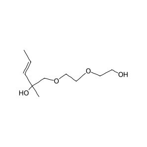 CC=CC(C)(O)COCCOCCO